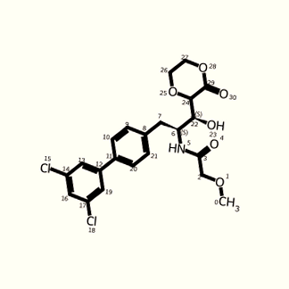 COCC(=O)N[C@@H](Cc1ccc(-c2cc(Cl)cc(Cl)c2)cc1)[C@H](O)C1OCCOC1=O